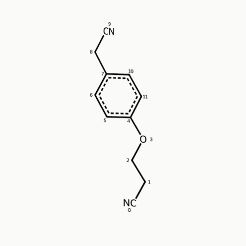 N#CCCOc1ccc(CC#N)cc1